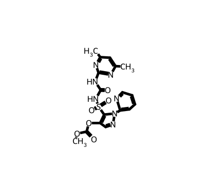 COC(=O)Oc1cnn(-c2ccccn2)c1S(=O)(=O)NC(=O)Nc1nc(C)cc(C)n1